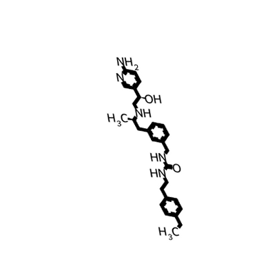 CCc1ccc(CCNC(=O)NCc2cccc(C[C@@H](C)NC[C@@H](O)c3ccc(N)nc3)c2)cc1